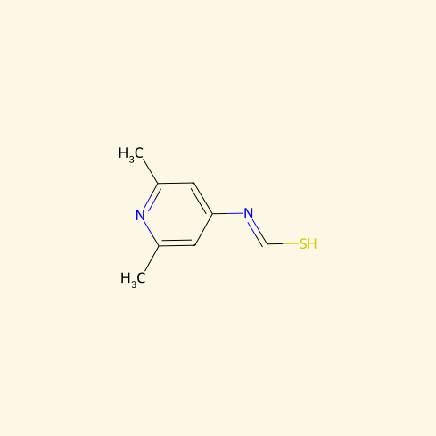 Cc1cc(N=CS)cc(C)n1